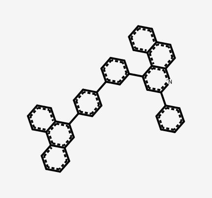 c1ccc(-c2cc(-c3cccc(-c4ccc(-c5cc6ccccc6c6ccccc56)cc4)c3)c3c(ccc4ccccc43)n2)cc1